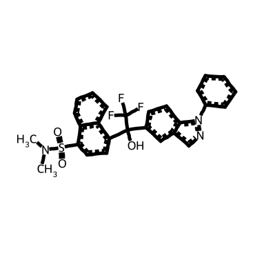 CN(C)S(=O)(=O)c1ccc(C(O)(c2ccc3c(cnn3-c3ccccc3)c2)C(F)(F)F)c2ccccc12